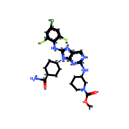 CC(C)OC(=O)N1CCC[C@@H](Nc2ncc3nc(Nc4c(F)cc(Cl)cc4F)n([C@H]4CC[C@H](C(N)=O)CC4)c3n2)C1